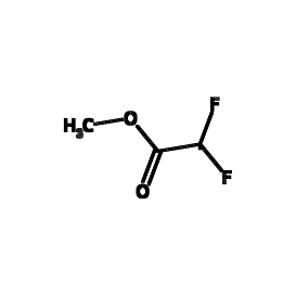 COC(=O)[C](F)F